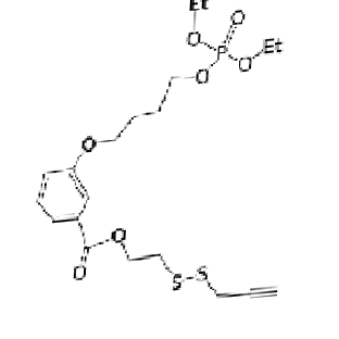 C#CCSSCCOC(=O)c1cccc(OCCCCOP(=O)(OCC)OCC)c1